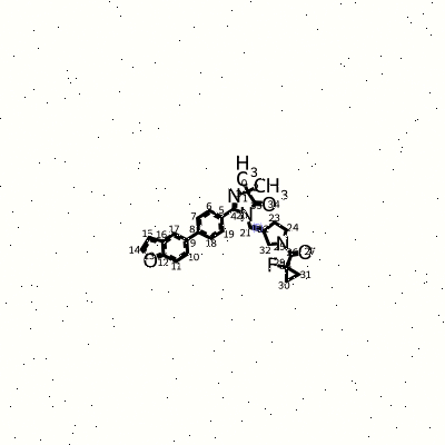 CC1(C)N=C(c2ccc(-c3ccc4occc4c3)cc2)N(/C=C2\CCN(C(=O)C3(F)CC3)C2)C1=O